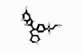 O=S(=O)(CCO)c1ccc(C(CC2CCOCC2)c2cc3cc(F)cnc3[nH]2)cc1